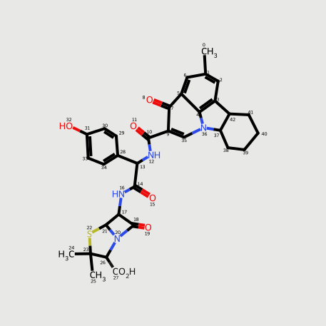 Cc1cc2c3c(c1)c(=O)c(C(=O)NC(C(=O)NC1C(=O)N4C1SC(C)(C)C4C(=O)O)c1ccc(O)cc1)cn3C1CCCCC21